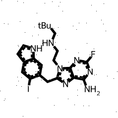 CC(C)(C)CNCCn1c(Cc2cc3[nH]ccc3cc2I)nc2c(N)nc(F)nc21